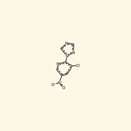 O=[N+]([O-])c1cnc(-n2cncn2)c(Cl)c1